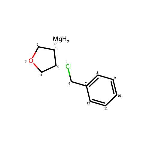 C1CCOC1.ClCc1ccccc1.[MgH2]